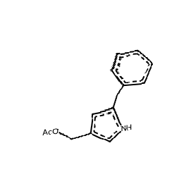 CC(=O)OCc1c[nH]c(-c2ccccc2)c1